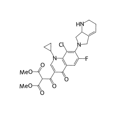 COC(=O)C(C(=O)OC)C(=O)c1cn(C2CC2)c2c(Cl)c(N3CC4=CCCNC4C3)c(F)cc2c1=O